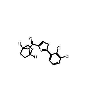 O=C(c1csc(-c2cccc(Cl)c2Cl)n1)N1[C@H]2CC[C@@H]1CC2